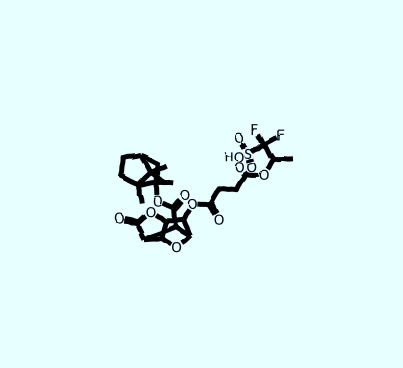 CC(OC(=O)CCC(=O)OC1C2OC(=O)C3C2OC1C3C(=O)OC1(C)CC2CCC1(C)C2(C)C)C(F)(F)S(=O)(=O)O